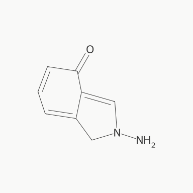 NN1C=C2C(=O)C=CC=C2C1